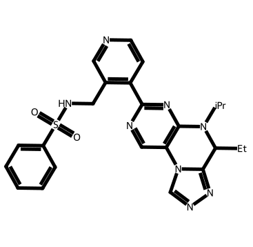 CCC1c2nncn2-c2cnc(-c3ccncc3CNS(=O)(=O)c3ccccc3)nc2N1C(C)C